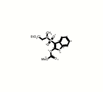 CCOC(=O)CN(C)S(=O)(=O)c1c(OC(=O)OC)sc2ccccc12